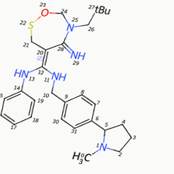 CN1CCCC1c1ccc(CN/C(Nc2ccccc2)=C2/CSOCN(CC(C)(C)C)C2=N)cc1